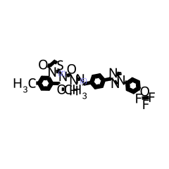 COCc1ccc(C)cc1N1C(=O)CS/C1=N\C(=O)N/N=C/c1ccc(-c2ncn(-c3ccc(OC(F)(F)F)cc3)n2)cc1